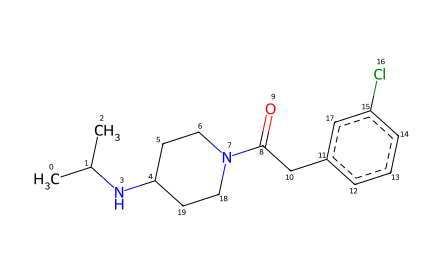 CC(C)NC1CCN(C(=O)Cc2cccc(Cl)c2)CC1